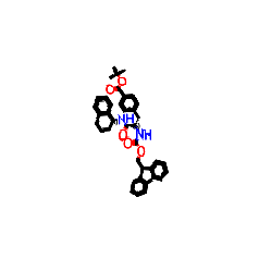 CC(C)(C)OC(=O)c1ccc(C[C@H](NC(=O)OCC2c3ccccc3-c3ccccc32)C(=O)N[C@@H]2CCCc3ccccc32)cc1